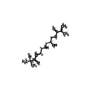 C=C(C)C(=O)OCC(O)CNCCOC(=O)C(C)(C)CC